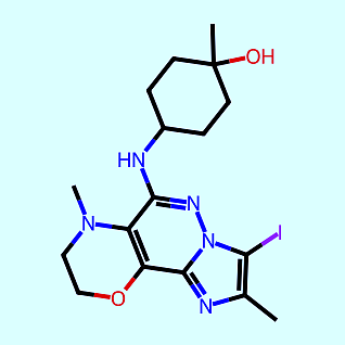 Cc1nc2c3c(c(NC4CCC(C)(O)CC4)nn2c1I)N(C)CCO3